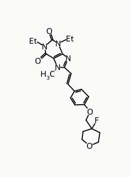 CCn1c(=O)c2c(nc(/C=C/c3ccc(OCC4(F)CCOCC4)cc3)n2C)n(CC)c1=O